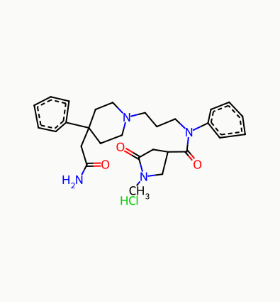 CN1CC(C(=O)N(CCCN2CCC(CC(N)=O)(c3ccccc3)CC2)c2ccccc2)CC1=O.Cl